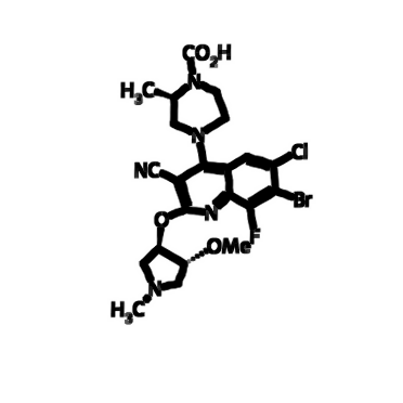 CO[C@@H]1CN(C)C[C@H]1Oc1nc2c(F)c(Br)c(Cl)cc2c(N2CCN(C(=O)O)[C@H](C)C2)c1C#N